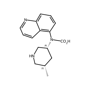 C[C@@H]1CNC[C@H](N(C(=O)O)c2cccc3ncccc23)C1